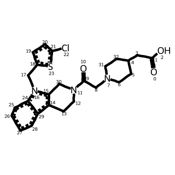 O=C(O)CC1CCN(CC(=O)N2CCc3c(n(Cc4ccc(Cl)s4)c4ccccc34)C2)CC1